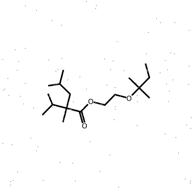 CCC(C)(C)OCCOC(=O)C(C)(CC(C)C)C(C)C